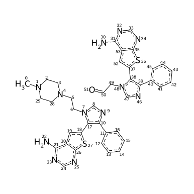 CN1CCN(CCn2cnc(-c3ccccc3)c2-c2cc3c(N)ncnc3s2)CC1.Nc1ncnc2sc(-c3c(-c4ccccc4)ncn3CC=O)cc12